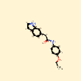 CCOc1ccc(NC(=O)Cc2ccc3cc[nH]c3c2)cc1